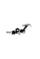 CCc1cc(N/C2=N/C=C\CCC3C(c4ccc(OC)c(F)c4F)=CN=C23)ccc1C(=O)CCCCC(O)CN